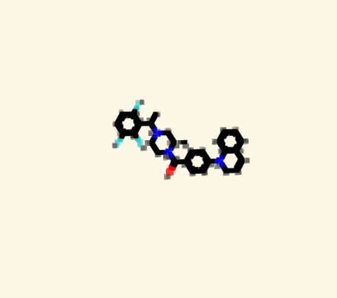 CC(c1c(F)ccc(F)c1F)N1CCN(C(=O)c2ccc(N3CC=Cc4ccccc43)cc2)[C@@H](C)C1